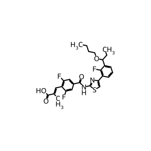 CCCCOC(CC)c1cccc(-c2csc(NC(=O)c3cc(F)c(/C=C(\C)C(=O)O)c(F)c3)n2)c1F